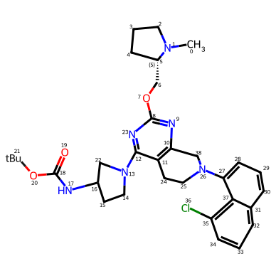 CN1CCC[C@H]1COc1nc2c(c(N3CCC(NC(=O)OC(C)(C)C)C3)n1)CCN(c1cccc3cccc(Cl)c13)C2